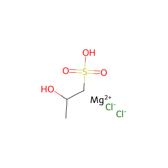 CC(O)CS(=O)(=O)O.[Cl-].[Cl-].[Mg+2]